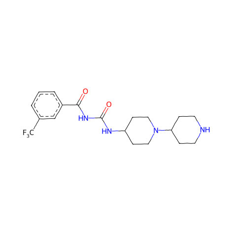 O=C(NC(=O)c1cccc(C(F)(F)F)c1)NC1CCN(C2CCNCC2)CC1